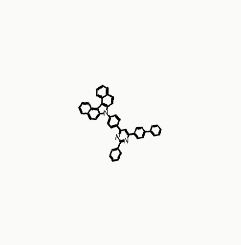 c1ccc(-c2ccc(-c3cc(-c4ccc(-n5c6ccc7ccccc7c6c6c7ccccc7ccc65)cc4)nc(-c4ccccc4)n3)cc2)cc1